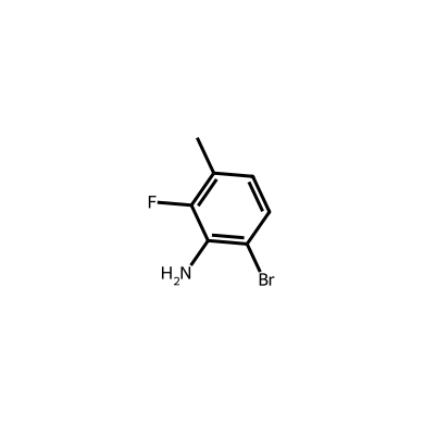 Cc1ccc(Br)c(N)c1F